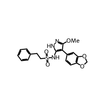 COc1n[nH]c(NS(=O)(=O)CCc2ccccc2)c1-c1ccc2c(c1)OCO2